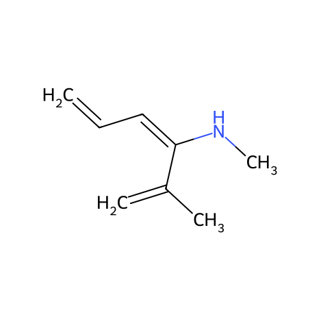 C=C/C=C(/NC)C(=C)C